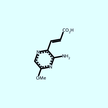 COc1cnc(C=CC(=O)O)c(N)n1